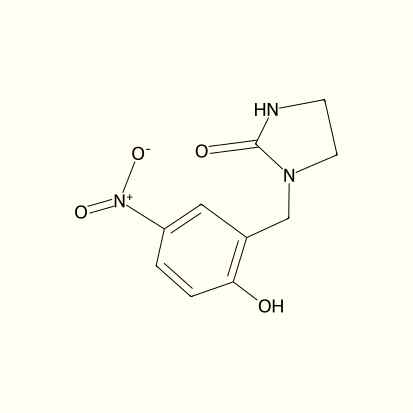 O=C1NCCN1Cc1cc([N+](=O)[O-])ccc1O